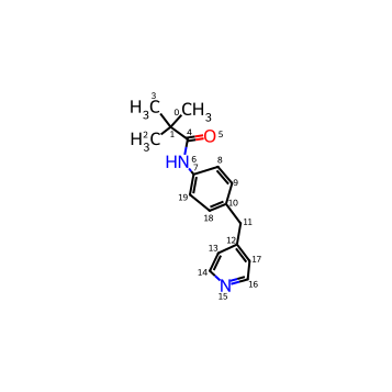 CC(C)(C)C(=O)Nc1ccc(Cc2ccncc2)cc1